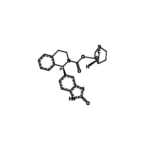 O=C(O[C@@H]1CN2CCC1CC2)N1CCc2ccccc2[C@@H]1c1ccc2[nH]c(=O)sc2c1